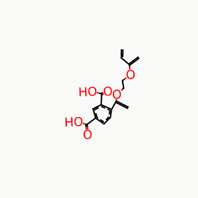 C=CC(=C)OCCOC(=C)c1ccc(C(=O)O)cc1C(=O)O